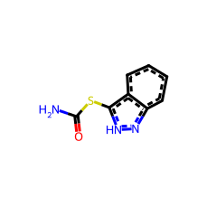 NC(=O)Sc1[nH]nc2ccccc12